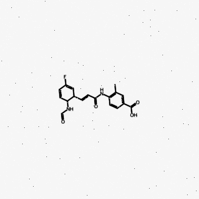 Cc1cc(C(=O)O)ccc1NC(=O)/C=C/C1C=C(F)C=CC1NC=O